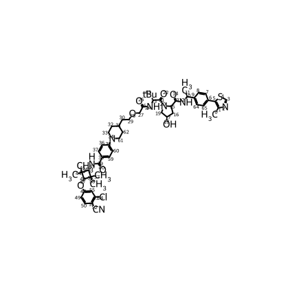 Cc1ncsc1-c1ccc([C@H](C)NC(=O)C2C[C@@H](O)CN2C(=O)[C@@H](NC(=O)COCCC2CCN(c3ccc(C(=O)N[C@H]4C(C)(C)[C@H](Oc5ccc(C#N)c(Cl)c5)C4(C)C)cc3)CC2)C(C)(C)C)cc1